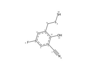 N#Cc1cc(F)cc(CSS)c1O